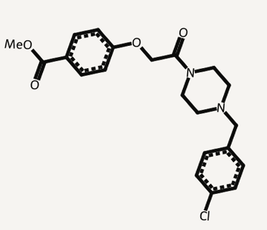 COC(=O)c1ccc(OCC(=O)N2CCN(Cc3ccc(Cl)cc3)CC2)cc1